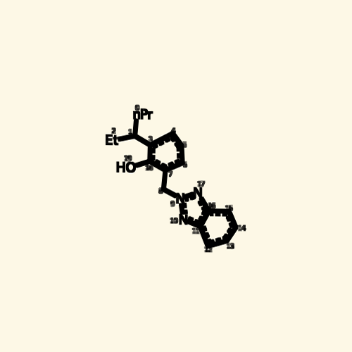 CCCC(CC)c1cccc(Cn2nc3ccccc3n2)c1O